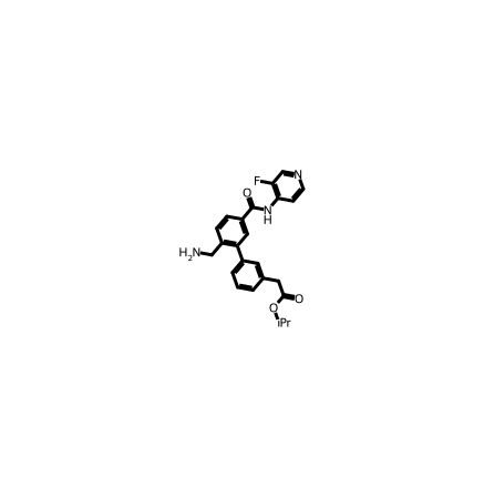 CC(C)OC(=O)Cc1cccc(-c2cc(C(=O)Nc3ccncc3F)ccc2CN)c1